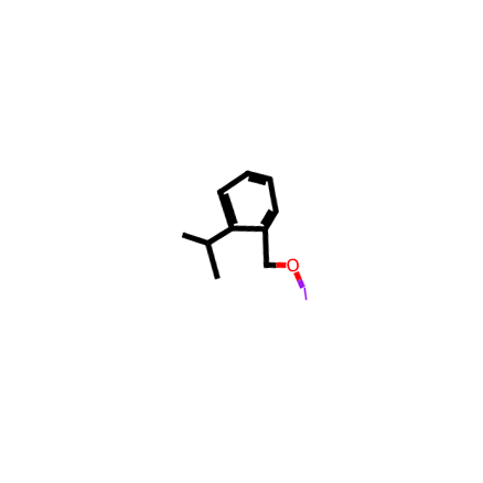 CC(C)c1ccccc1COI